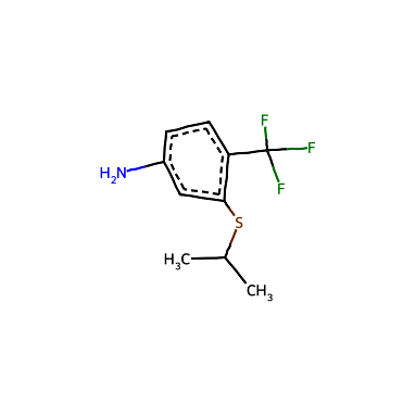 CC(C)Sc1cc(N)ccc1C(F)(F)F